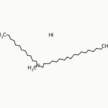 CCCCCCCCCCCCCCCCCCN(C)CCCCCCCCCCCC.I